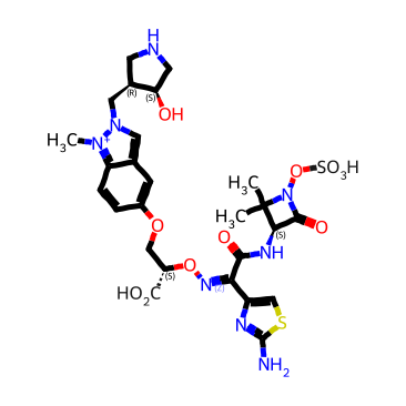 C[n+]1c2ccc(OC[C@H](O/N=C(\C(=O)N[C@@H]3C(=O)N(OS(=O)(=O)O)C3(C)C)c3csc(N)n3)C(=O)O)cc2cn1C[C@H]1CNC[C@H]1O